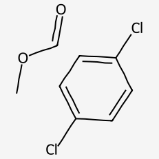 COC=O.Clc1ccc(Cl)cc1